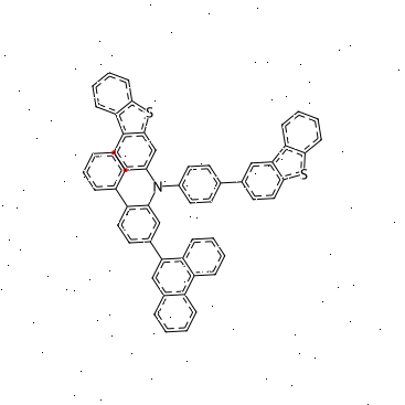 c1ccc(-c2ccc(-c3cc4ccccc4c4ccccc34)cc2N(c2ccc(-c3ccc4sc5ccccc5c4c3)cc2)c2ccc3c(c2)sc2ccccc23)cc1